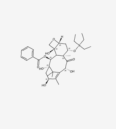 CC[Si](CC)(CC)O[C@H]1C[C@H]2OC[C@@]2(O)C2[C@H](OC(=O)c3ccccc3)[C@]3(O)C[C@H](O)C(C)=C([C@@H](O)C(=O)[C@@]21C)C3(C)C